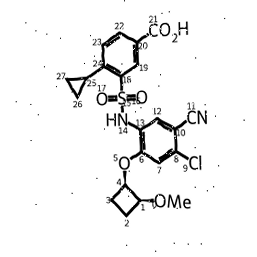 CO[C@H]1CC[C@H]1Oc1cc(Cl)c(C#N)cc1NS(=O)(=O)c1cc(C(=O)O)ccc1C1CC1